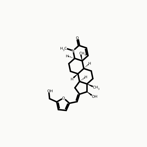 CN1C(=O)C=C[C@]2(C)[C@H]3CC[C@]4(C)[C@@H](O)/C(=C/c5ccc(CO)o5)C[C@H]4[C@@H]3CC[C@@H]12